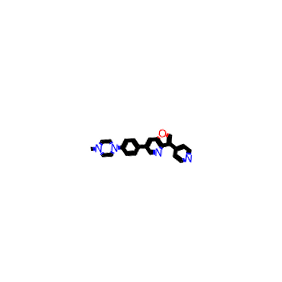 CN1CCN(c2ccc(-c3cnc4c(-c5ccncc5)coc4c3)cc2)CC1